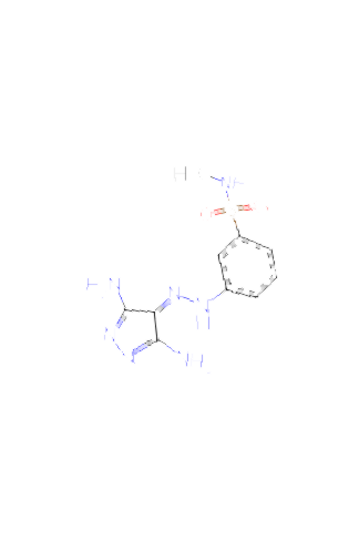 CNS(=O)(=O)c1cccc(NN=C2C(N)=NN=C2N)c1